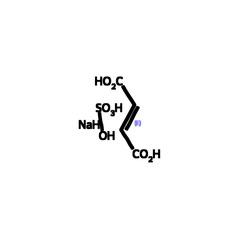 O=C(O)/C=C/C(=O)O.O=S(=O)(O)O.[NaH]